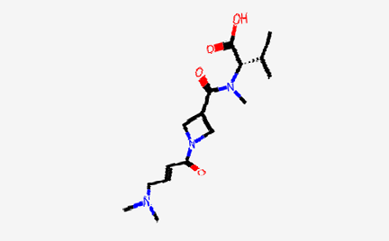 CC(C)[C@@H](C(=O)O)N(C)C(=O)C1CN(C(=O)/C=C/CN(C)C)C1